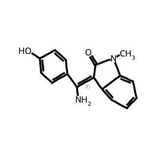 CN1C(=O)/C(=C(/N)c2ccc(O)cc2)c2ccccc21